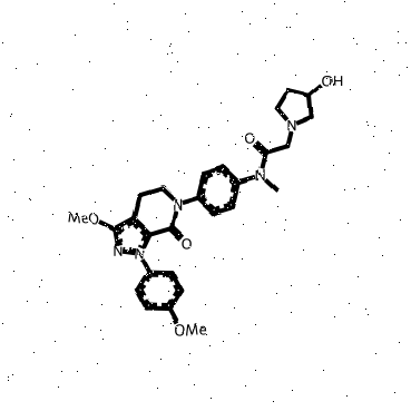 COc1ccc(-n2nc(OC)c3c2C(=O)N(c2ccc(N(C)C(=O)CN4CCC(O)C4)cc2)CC3)cc1